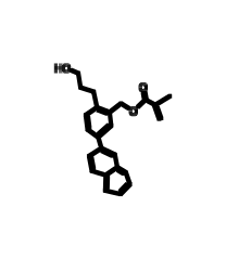 C=C(C)C(=O)OCc1cc(-c2ccc3ccccc3c2)ccc1CCCO